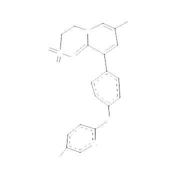 O=S1(=O)CCN2C=C(Cl)C=C(c3ccc(Oc4ccc(Cl)cn4)cc3)C2=N1